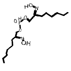 CCCCCCC(CO[PH](=O)OCC(CCCCCC)=NO)=NO